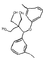 Cc1cccc(OC(c2cccc(C)c2)C(CO)(CO)CO)c1